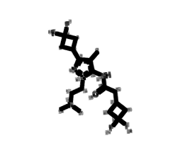 Cc1c(C2CC(F)(F)C2)nn(CCN(C)C)c1NC(=O)CC1CC(F)(F)C1